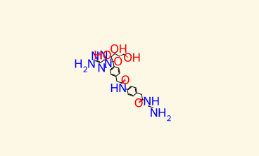 NCCNC(=O)Cc1ccc(NC(=O)Cc2ccc([C@@]3(n4cnc5c(N)ncnc54)O[C@H](CO)[C@@H](O)[C@H]3O)cc2)cc1